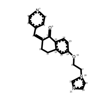 O=C1/C(=C\c2ccncc2)CCc2cc(OCCn3ccnc3)ccc21